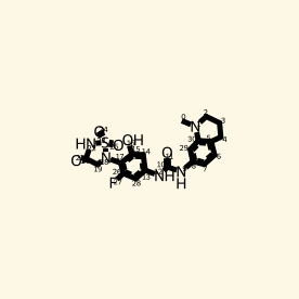 CN1CCCc2ccc(NC(=O)Nc3cc(O)c(N4CC(=O)NS4(=O)=O)c(F)c3)cc21